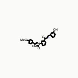 COc1ccc(-c2cn(-c3cccc(C(=O)/C=C/c4cccc(O)c4)c3)c(=O)[nH]2)cc1